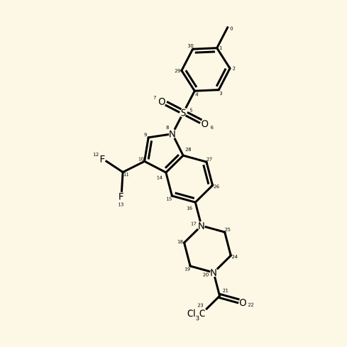 Cc1ccc(S(=O)(=O)n2cc(C(F)F)c3cc(N4CCN(C(=O)C(Cl)(Cl)Cl)CC4)ccc32)cc1